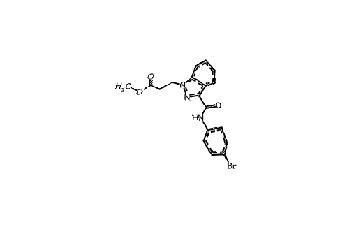 COC(=O)CCn1nc(C(=O)Nc2ccc(Br)cc2)c2ccccc21